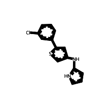 Clc1cccc(-c2cc(Nc3ccc[nH]3)cs2)c1